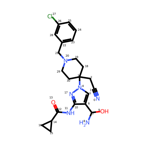 N#CCC1(n2cc(C(N)O)c(NC(=O)C3CC3)n2)CCN(Cc2cccc(Cl)c2)CC1